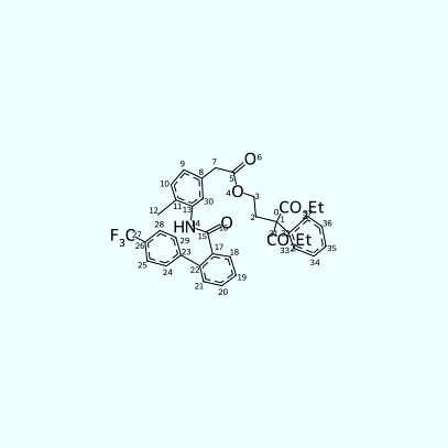 CCOC(=O)C(CCOC(=O)Cc1ccc(C)c(NC(=O)c2ccccc2-c2ccc(C(F)(F)F)cc2)c1)(C(=O)OCC)c1ccccc1